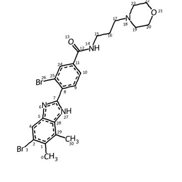 Cc1c(Br)cc2nc(-c3ccc(C(=O)NCCCN4CCOCC4)cc3Br)[nH]c2c1C